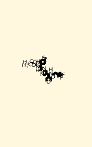 CC(C)(C)OC(=O)N[C@H](c1cn2ncc([C@H](NC(=O)CC3CC(F)(F)C3)C3CCOCC3)cc2n1)C1CCC(F)(F)CC1